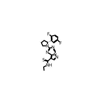 CCNC(=S)c1cnn2cnc(N3CCC[C@@H]3c3cc(F)ccc3F)nc12